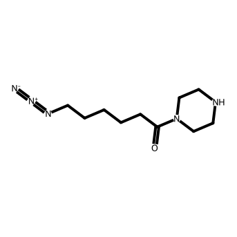 [N-]=[N+]=NCCCCCC(=O)N1CCNCC1